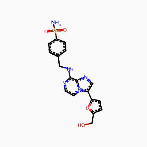 NS(=O)(=O)c1ccc(CNc2nccn3c(-c4ccc(CO)o4)cnc23)cc1